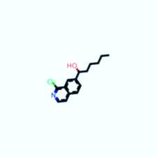 CCCCCC(O)c1ccc2ccnc(Cl)c2c1